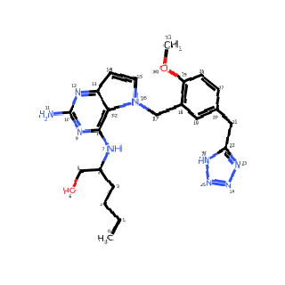 CCCCC(CO)Nc1nc(N)nc2ccn(Cc3cc(Cc4nnn[nH]4)ccc3OC)c12